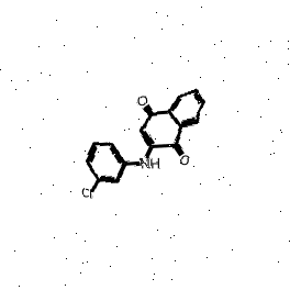 O=C1C=C(Nc2cccc(Cl)c2)C(=O)c2ccccc21